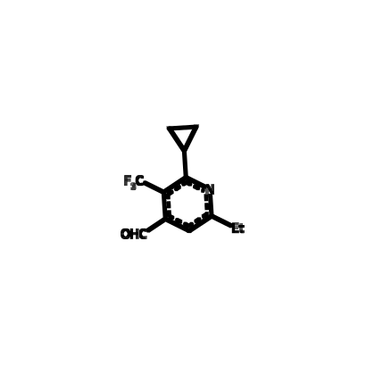 CCc1cc(C=O)c(C(F)(F)F)c(C2CC2)n1